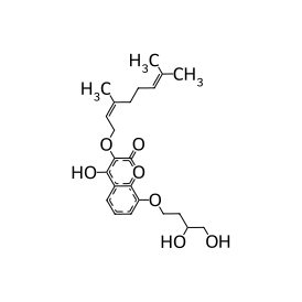 CC(C)=CCCC(C)=CCOc1c(O)c2cccc(OCCC(O)CO)c2oc1=O